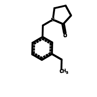 CCc1cccc(CN2CCCC2=O)c1